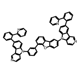 c1ccc(-c2ccccc2-c2ccc3c(c2)c2cnccc2n3-c2cccc(-c3cccc4c3oc3ccc(-n5c6ccncc6c6cc(-c7ccccc7-c7ccccn7)ccc65)cc34)c2)nc1